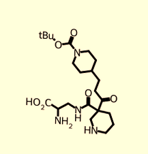 CC(C)(C)OC(=O)N1CCC(CCC(=O)C2(C(=O)NCC(N)C(=O)O)CCCNC2)CC1